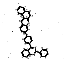 c1ccc(-c2nc(-c3ccc(-c4ccc5cc6c(ccc7ccccc76)nc5c4)cc3)c3ccccc3n2)cc1